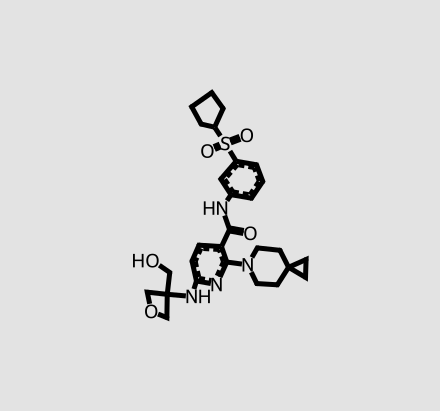 O=C(Nc1cccc(S(=O)(=O)C2CCCC2)c1)c1ccc(NC2(CO)COC2)nc1N1CCC2(CC1)CC2